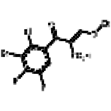 CCO/C=C(\C(=O)OCC)C(=O)c1cc(F)c(F)c(Br)c1Cl